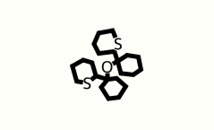 C1CCC(OC2(C3CCCCS3)CCCCC2)(C2CCCCS2)CC1